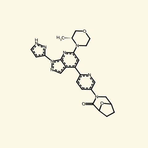 C[C@@H]1COCCN1c1cc(-c2ccc(N3CC4CCC(O4)C3=O)cn2)c2cnn(-c3cc[nH]n3)c2n1